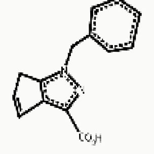 O=C(O)c1nn(Cc2ccccc2)c2c1C=CC2